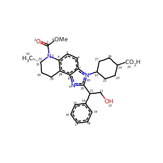 COC(=O)N1c2ccc3c(nc(C(CO)c4ccccc4)n3C3CCC(C(=O)O)CC3)c2CC[C@@H]1C